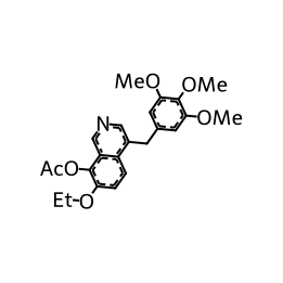 CCOc1ccc2c(Cc3cc(OC)c(OC)c(OC)c3)cncc2c1OC(C)=O